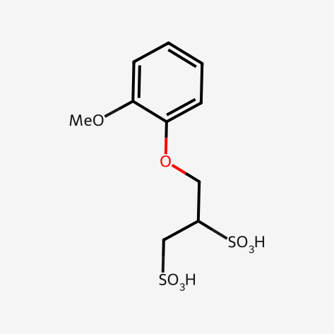 COc1ccccc1OCC(CS(=O)(=O)O)S(=O)(=O)O